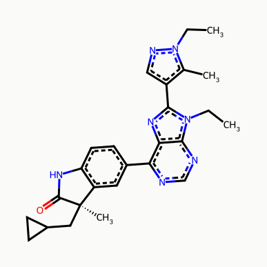 CCn1ncc(-c2nc3c(-c4ccc5c(c4)[C@@](C)(CC4CC4)C(=O)N5)ncnc3n2CC)c1C